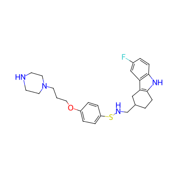 Fc1ccc2[nH]c3c(c2c1)CC(CNSc1ccc(OCCCN2CCNCC2)cc1)CC3